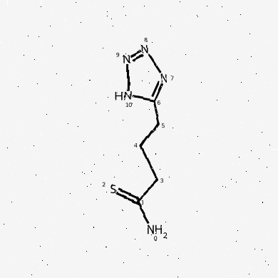 NC(=S)CCCc1nnn[nH]1